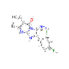 CCc1nc2n(c(=O)c1C(=O)O)C(N)C(c1ccc(F)cc1F)=N2